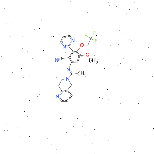 COc1cc(N=C(C)N2CCc3ncccc3C2)c(C#N)c(-c2ncccn2)c1OCC(F)(F)F